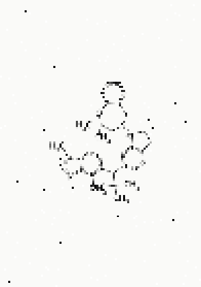 Cc1c(C(c2ccc3c(c2)[C@H](N2Cc4ccccc4OC(C)(C)C2)CC3)C(C)(C)C(=O)O)ccc2c1nnn2C